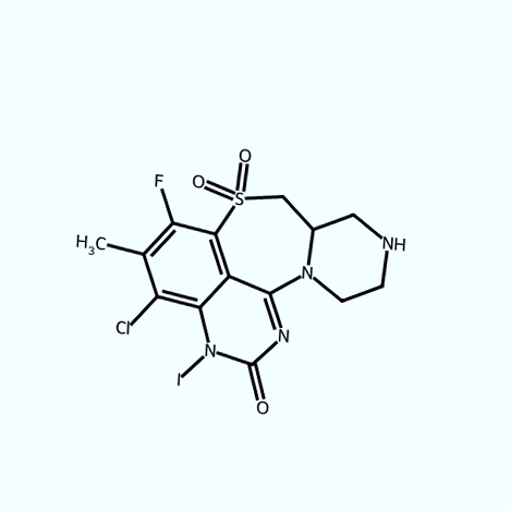 Cc1c(F)c2c3c(nc(=O)n(I)c3c1Cl)N1CCNCC1CS2(=O)=O